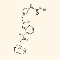 CC(C)(C)OC(=O)N[C@@H]1CCN(Cc2cc3c(C(=O)NCC45CC6CC(CC(C6)C4)C5)cccn3n2)C1